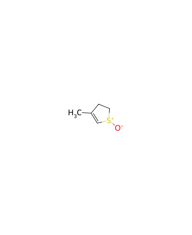 CC1=C[S+]([O-])CC1